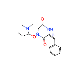 CCC(ON1CC(=O)N/C(=C/c2ccccc2)C1=O)N(C)C